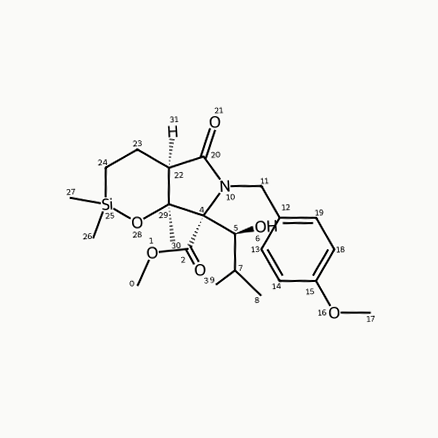 COC(=O)[C@@]1([C@@H](O)C(C)C)N(Cc2ccc(OC)cc2)C(=O)[C@@H]2CC[Si](C)(C)O[C@@]21C